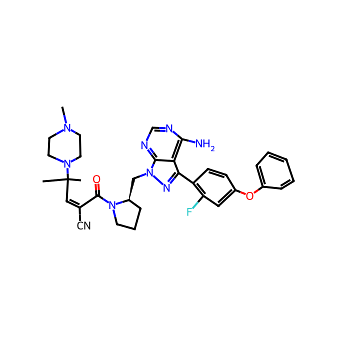 CN1CCN(C(C)(C)/C=C(/C#N)C(=O)N2CCC[C@@H]2Cn2nc(-c3ccc(Oc4ccccc4)cc3F)c3c(N)ncnc32)CC1